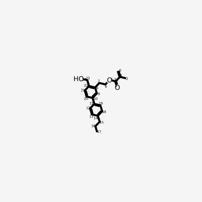 C=C(C)C(=O)OCCc1cc(-c2ccc(CCC)cc2)ccc1CO